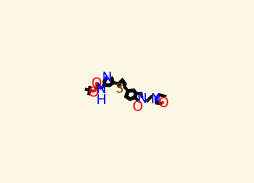 CC(C)(C)OC(=O)Nc1cncc(-c2ccc(-c3ccc4c(c3)CN(CCN3CCOCC3)C4=O)s2)c1